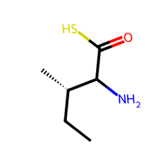 CC[C@H](C)C(N)C(=O)S